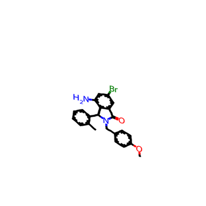 COc1ccc(CN2C(=O)c3cc(Br)cc(N)c3C2c2ccccc2C)cc1